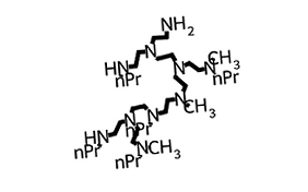 CCCNCCN(CCN)CCN(CCN(C)CCC)CCN(C)CCN(CCC)CCN(CCNCCC)CCN(C)CCC